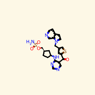 NS(=O)(=O)OC[C@@H]1CCC(Nc2ncncc2C(=O)c2cc(Cn3ccc4ccncc43)cs2)C1